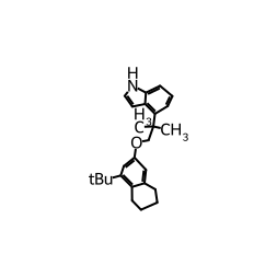 CC(C)(C)c1cc(OCC(C)(C)c2cccc3[nH]ccc23)cc2c1CCCC2